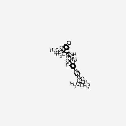 COC(=O)C(C)(c1ccc(Cl)cc1)c1c[nH]c(NC(=O)c2c(F)cc(N3CCN(C(=O)OC(C)(C)C)CC3)cc2F)n1